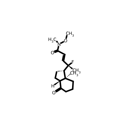 CON(C)C(=O)/C=C/[C@](C)(F)[C@H]1CC[C@H]2C(=O)CCC[C@@]21C